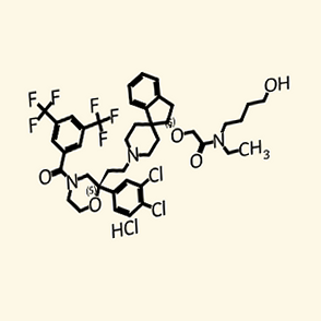 CCN(CCCCO)C(=O)CO[C@H]1Cc2ccccc2C12CCN(CC[C@]1(c3ccc(Cl)c(Cl)c3)CN(C(=O)c3cc(C(F)(F)F)cc(C(F)(F)F)c3)CCO1)CC2.Cl